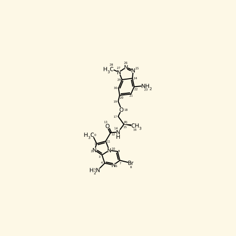 Cc1nc2c(N)nc(Br)cn2c1C(=O)N[C@H](C)COCc1cc(N)c2nnn(C)c2c1